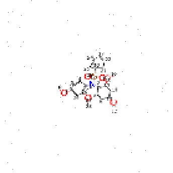 COc1ccc(N(c2ccc(OC)cc2OC)S(=O)(=O)c2ccccc2)c(OC)c1